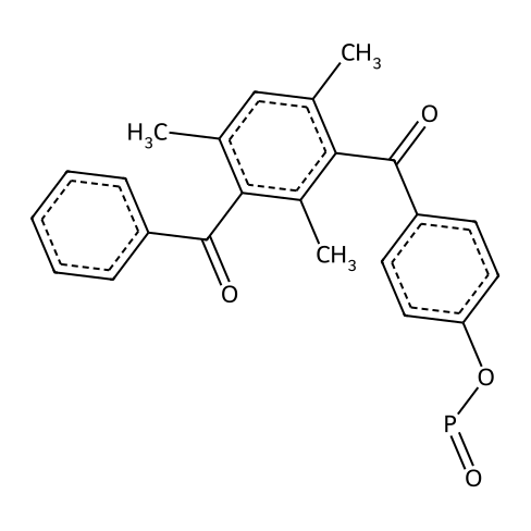 Cc1cc(C)c(C(=O)c2ccc(OP=O)cc2)c(C)c1C(=O)c1ccccc1